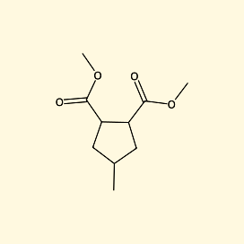 COC(=O)C1CC(C)CC1C(=O)OC